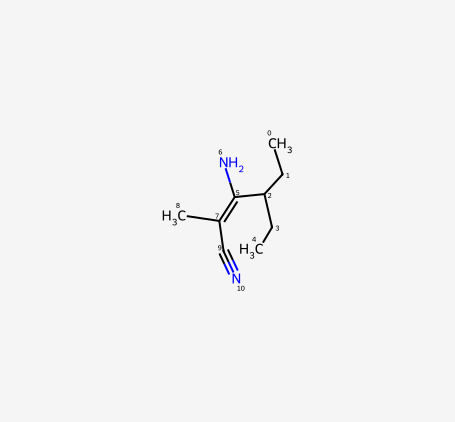 CCC(CC)C(N)=C(C)C#N